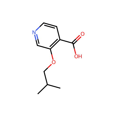 CC(C)COc1cnccc1C(=O)O